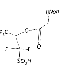 CCCCCCCCCCC(=O)OC(C(F)(F)F)C(F)(F)S(=O)(=O)O